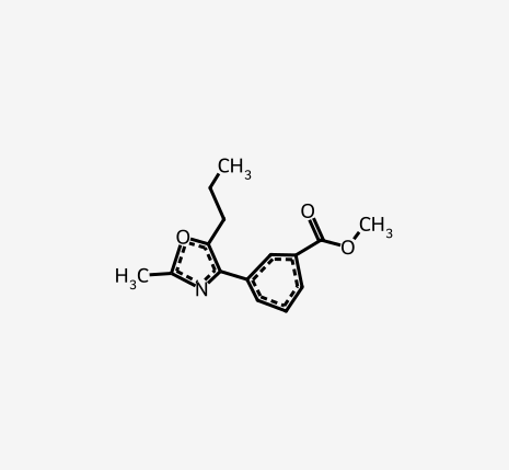 CCCc1oc(C)nc1-c1cccc(C(=O)OC)c1